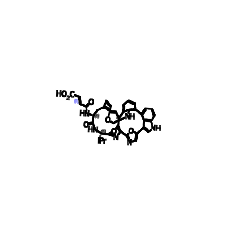 CC(C)[C@@H]1NC(=O)[C@@H](NC(=O)/C=C/C(=O)O)Cc2ccc3c(c2)[C@]24c5cccc(c5NC2O3)-c2cccc3[nH]cc(c23)-c2cnc(o2)-c2nc1oc24